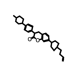 C=CCCC1CCC(c2ccc3c(c2)OC(=O)C(c2ccc(C4CCC(C)CC4)cc2)C3)CC1